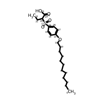 CCCCCCCCCCCCOc1ccc(S(=O)(=O)C(CC)C(=O)O)cc1